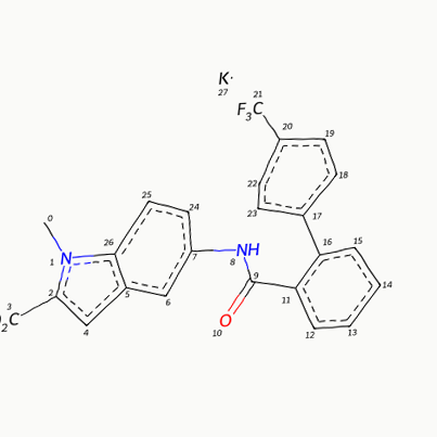 Cn1c(C(=O)O)cc2cc(NC(=O)c3ccccc3-c3ccc(C(F)(F)F)cc3)ccc21.[K]